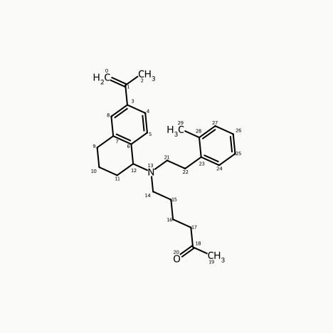 C=C(C)c1ccc2c(c1)CCCC2N(CCCCC(C)=O)CCc1ccccc1C